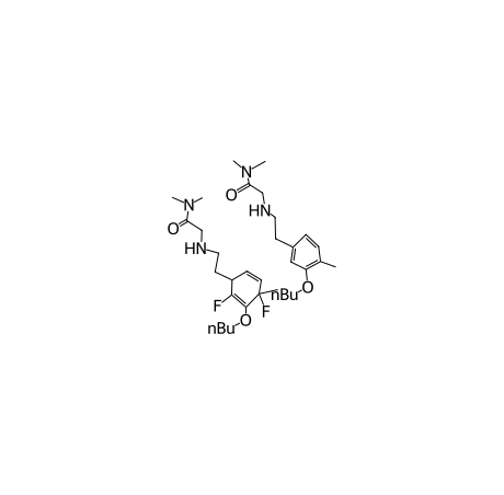 CCCCOC1=C(F)C(CCNCC(=O)N(C)C)C=CC1(C)F.CCCCOc1cc(CCNCC(=O)N(C)C)ccc1C